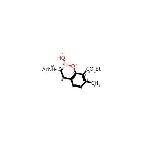 CCOC(=O)c1c(C)ccc2c1OB(O)[C@@H](NC(C)=O)C2